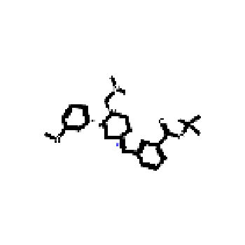 COc1cccc([C@H]2C/C(=C/c3cccc(C(=O)OC(C)(C)C)c3)CC[C@@H]2CN(C)C)c1